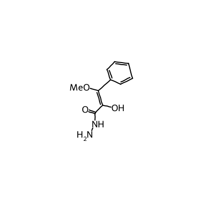 COC(=C(O)C(=O)NN)c1ccccc1